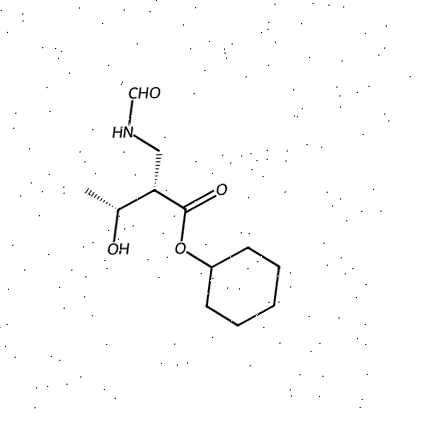 C[C@@H](O)[C@H](CNC=O)C(=O)OC1CCCCC1